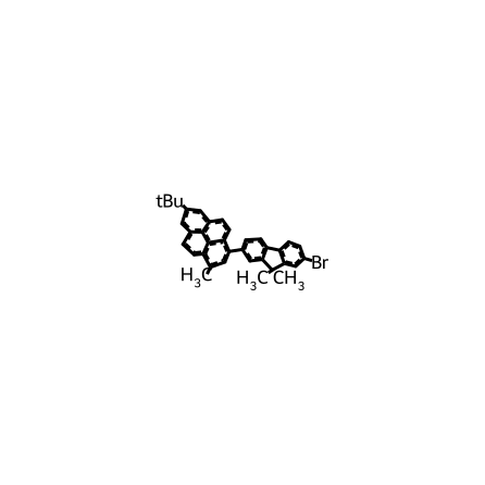 Cc1cc(-c2ccc3c(c2)C(C)(C)c2cc(Br)ccc2-3)c2ccc3cc(C(C)(C)C)cc4ccc1c2c43